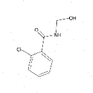 O=C(NCO)c1ccccc1Cl